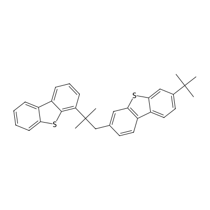 CC(C)(C)c1ccc2c(c1)sc1cc(CC(C)(C)c3cccc4c3sc3ccccc34)ccc12